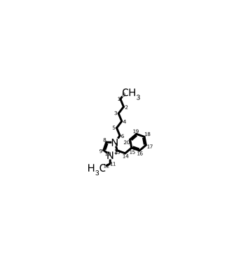 CCCCCCCn1cc[n+](CC)c1Cc1ccccc1